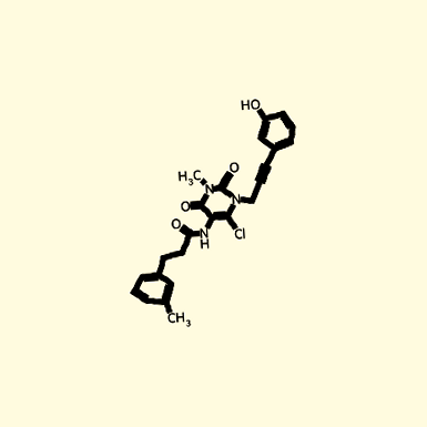 Cc1cccc(CCC(=O)Nc2c(Cl)n(CC#Cc3cccc(O)c3)c(=O)n(C)c2=O)c1